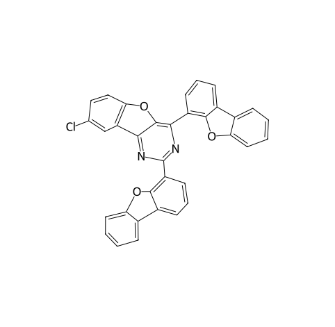 Clc1ccc2oc3c(-c4cccc5c4oc4ccccc45)nc(-c4cccc5c4oc4ccccc45)nc3c2c1